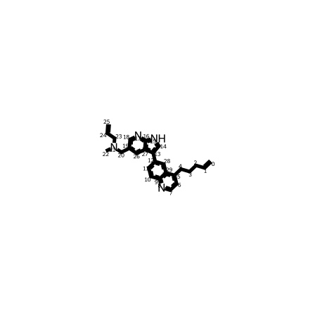 C=CCCCc1ccnc2ccc(-c3c[nH]c4ncc(CN(C)CC=C)cc34)cc12